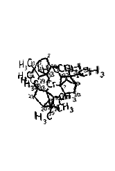 CC1CC2C[C]1([Cr]([C]13CC(CC1C)C(C)(C)C3C)[C]13CC(CC1C)C(C)(C)C3C)C(C)C2(C)C